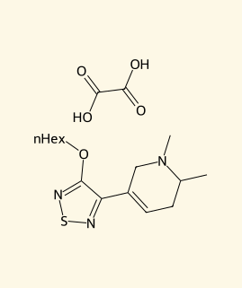 CCCCCCOc1nsnc1C1=CCC(C)N(C)C1.O=C(O)C(=O)O